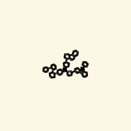 c1ccc(-c2ccccc2-c2ccccc2-c2ccc(N(c3ccc(-c4cccc5c4ccc4ccccc45)cc3)c3cccc(-c4ccc5c(c4)c4ccccc4n5-c4ccccc4)c3)cc2)cc1